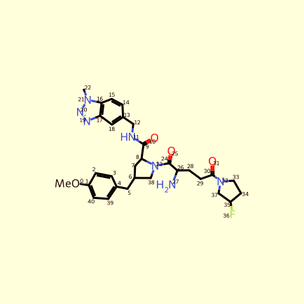 COc1ccc(CC2CC(C(=O)NCc3ccc4c(c3)nnn4C)N(C(=O)C(N)CCC(=O)N3CCC(F)C3)C2)cc1